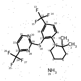 CC1(C)CCCCN1c1ccc(C(F)(F)F)cc1Sc1nccc(C(F)(F)F)n1.N